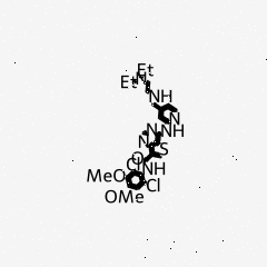 CCN(CC)CCNCc1ccnc(Nc2ncnc3c(C(=O)Nc4c(Cl)c(OC)cc(OC)c4Cl)csc23)c1